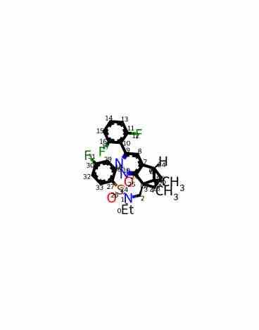 CCN(C[C@@]12CC[C@@H](c3cc(-c4c(F)cccc4F)nnc31)C2(C)C)S(=O)(=O)c1ccc(F)cc1